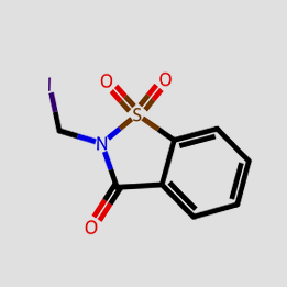 O=C1c2ccccc2S(=O)(=O)N1CI